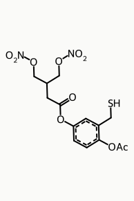 CC(=O)Oc1ccc(OC(=O)CC(CO[N+](=O)[O-])CO[N+](=O)[O-])cc1CS